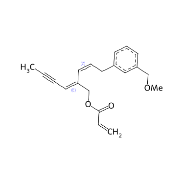 C=CC(=O)OCC(/C=C\Cc1cccc(COC)c1)=C/C#CC